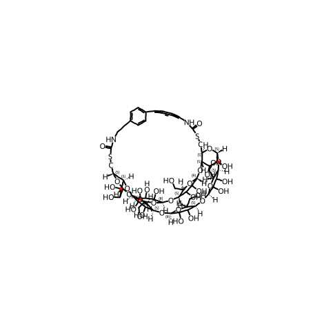 O=C1NCc2ccc(cc2)-c2ccc(cc2)NC(=O)SC[C@H]2O[C@@H]3O[C@H]4C(O)C(O)[C@H](O[C@@H]4CO)O[C@H]4C(O)C(O)[C@H](O[C@@H]4CO)O[C@H]4C(O)C(O)[C@H](O[C@@H]4CO)O[C@H]4C(O)C(O)[C@H](O[C@@H]4CS1)O[C@H]1C(O)C(O)[C@H](O[C@@H]1CO)O[C@H]1C(O)C(O)[C@H](O[C@@H]1CO)O[C@H]2C(O)C3O